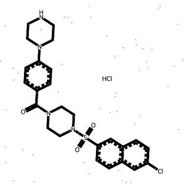 Cl.O=C(c1ccc(N2CCNCC2)cc1)N1CCN(S(=O)(=O)c2ccc3cc(Cl)ccc3c2)CC1